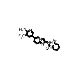 CC(=O)N1CCCC[C@H]1C(=O)Nc1cn2cc(-c3cnc(N)c(C(F)(F)F)c3)ccc2n1